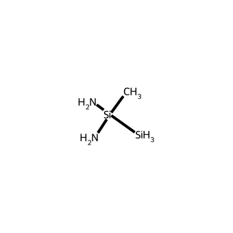 C[Si](N)(N)[SiH3]